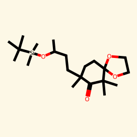 CC(CCC1(C)CCC2(OCCO2)C(C)(C)C1=O)O[Si](C)(C)C(C)(C)C